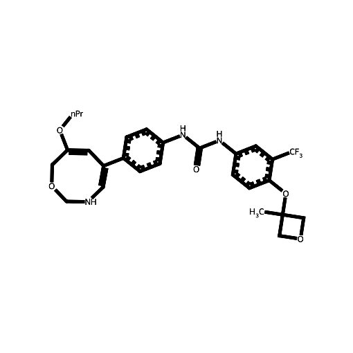 CCCO/C1=C/C(c2ccc(NC(=O)Nc3ccc(OC4(C)COC4)c(C(F)(F)F)c3)cc2)=C\NCOC1